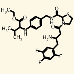 CCOC(=O)C(Nc1ccc(CNC(=O)C2SCCN2C(=O)CC(N)Cc2cc(F)c(F)cc2F)cc1)C(C)C